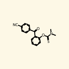 CN(C)C(=S)Oc1ccccc1C(=O)c1ccc(C#N)cc1